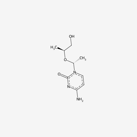 C[C@@H](CO)O[C@H](C)n1ccc(N)nc1=O